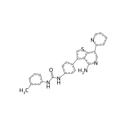 Cc1cccc(NC(=O)Nc2ccc(-c3csc4c(-c5ccccn5)cnc(N)c34)cc2)c1